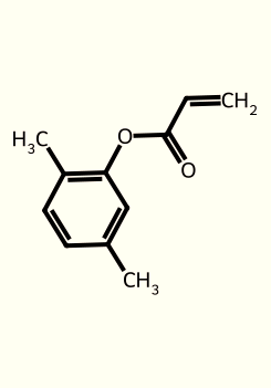 C=CC(=O)Oc1cc(C)ccc1C